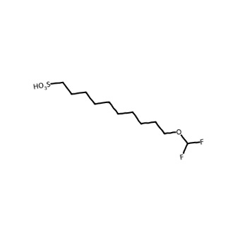 O=S(=O)(O)CCCCCCCCCCOC(F)F